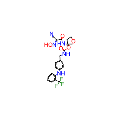 N#CC(=NO)C(=O)N[C@]1(OC(=O)NCc2ccc(Nc3ccccc3C(F)(F)F)cc2)CCOC1